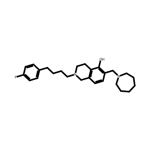 Oc1c(CN2CCCCCC2)ccc2c1CCN(CCCCc1ccc(F)cc1)C2